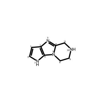 c1cc2nc3n(c2[nH]1)CCNC3